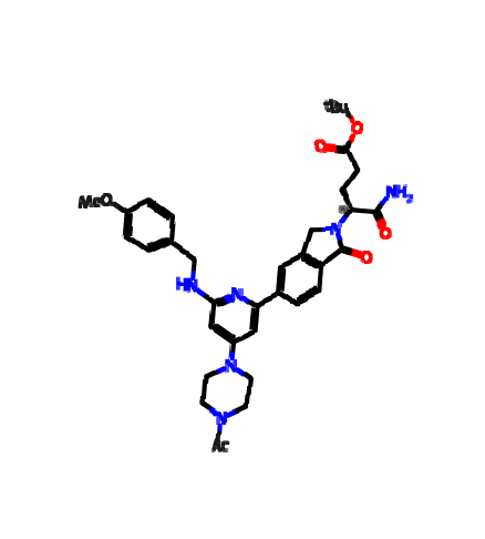 COc1ccc(CNc2cc(N3CCN(C(C)=O)CC3)cc(-c3ccc4c(c3)CN([C@@H](CCC(=O)OC(C)(C)C)C(N)=O)C4=O)n2)cc1